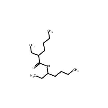 CCCCC(CC)NC(=O)C(CC)CCCC